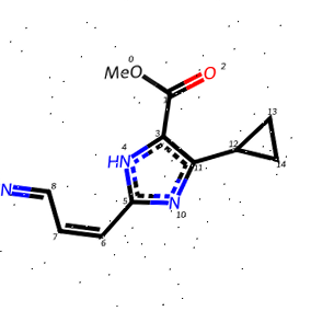 COC(=O)c1[nH]c(/C=C\C=N)nc1C1CC1